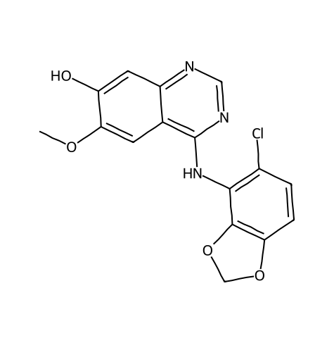 COc1cc2c(Nc3c(Cl)ccc4c3OCO4)ncnc2cc1O